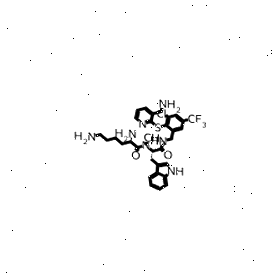 CN(C(=O)[C@@H](N)CCCCN)[C@@H](Cc1c[nH]c2ccccc12)C(=O)NCc1cc(C(F)(F)F)cc(Cl)c1Sc1ncccc1CN